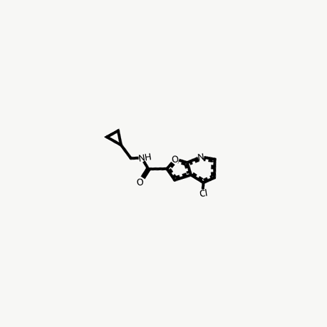 O=C(NCC1CC1)c1cc2c(Cl)ccnc2o1